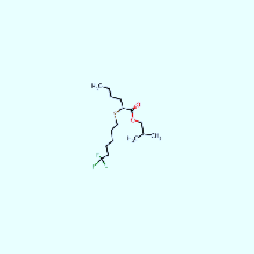 CCCCC(SCCCCCC(F)(F)F)C(=O)OCC(C)C